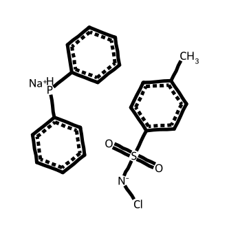 Cc1ccc(S(=O)(=O)[N-]Cl)cc1.[Na+].c1ccc(Pc2ccccc2)cc1